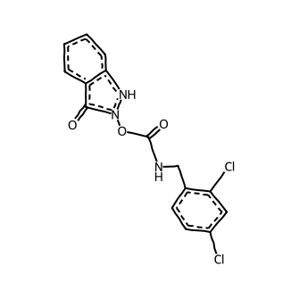 O=C(NCc1ccc(Cl)cc1Cl)On1[nH]c2ccccc2c1=O